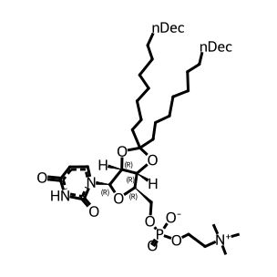 CCCCCCCCCCCCCCCCCC1(CCCCCCCCCCCCCCCCC)O[C@@H]2[C@H](O1)[C@@H](COP(=O)([O-])OCC[N+](C)(C)C)O[C@H]2n1ccc(=O)[nH]c1=O